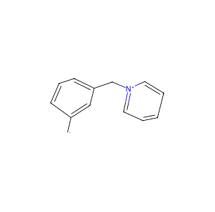 [CH2]c1cccc(C[n+]2ccccc2)c1